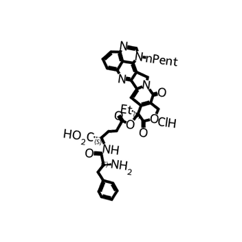 CCCCCN1C=Nc2cccc3nc4c(c1c23)Cn1c-4cc2c(c1=O)COC(=O)[C@@]2(CC)OC(=O)CC[C@H](NC(=O)[C@@H](N)Cc1ccccc1)C(=O)O.Cl